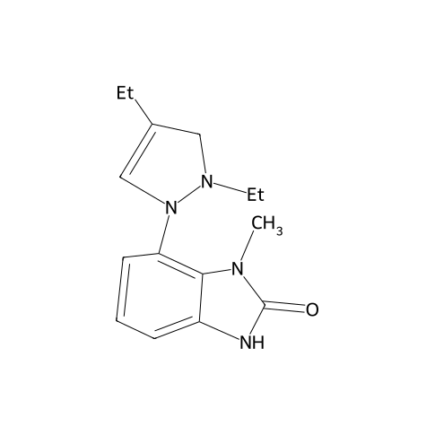 CCC1=CN(c2cccc3[nH]c(=O)n(C)c23)N(CC)C1